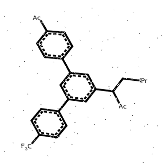 CC(=O)c1ccc(-c2cc(-c3ccc(C(F)(F)F)cc3)cc(C(CC(C)C)C(C)=O)c2)cc1